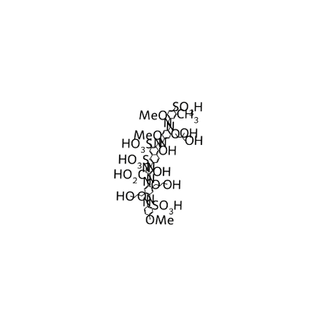 COc1ccc(N=Nc2cc(OCCO)c(/N=N/c3c(C(=O)O)nn(-c4ccc5c(O)c(/N=N/c6cc(OCC(O)CO)c(/N=N/c7cc(C)c(S(=O)(=O)O)cc7OC)cc6OC)c(S(=O)(=O)O)cc5c4S(=O)(=O)O)c3O)cc2OCCO)c(S(=O)(=O)O)c1